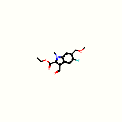 CCOC(=O)c1c(C=O)c2cc(F)c(COC)cc2n1C